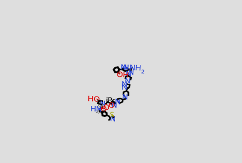 Cc1ncsc1-c1ccc([C@H](C)NC(=O)[C@@H]2C[C@@H](O)CN2C(=O)C(c2cc(N3CCC(CN4CCC(C5=CCC(N6CCC(n7nc(N)c8nnc(-c9ccccc9O)cc87)CC6)N=N5)CC4)CC3)no2)C(C)C)cc1